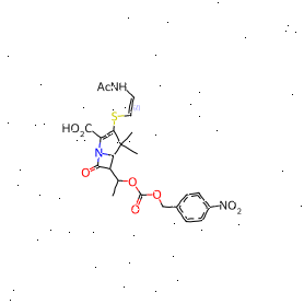 CC(=O)N/C=C\SC1=C(C(=O)O)N2C(=O)C(C(C)OC(=O)OCc3ccc([N+](=O)[O-])cc3)C2C1(C)C